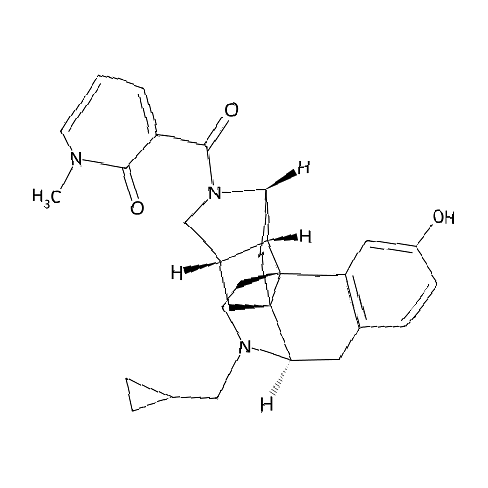 Cn1cccc(C(=O)N2C[C@H]3C[C@@]45CC[C@@H]2[C@@H]3[C@@]42CCN(CC3CC3)[C@@H]5Cc3ccc(O)cc32)c1=O